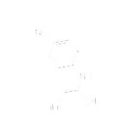 CC(C)CC(C)Nc1ccc(C#N)cc1